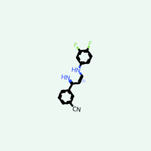 N#Cc1cccc(C(=N)/C=C\Nc2ccc(F)c(F)c2)c1